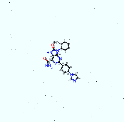 CC(C)c1ccccc1-n1c(=O)[nH]c2c(C(N)=O)nc(-c3ccc(-n4ccnc4)cc3)nc21